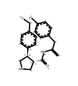 C=C(Cc1ccc(Cl)cc1)NC(=O)[C@@H]1CNC[C@H]1c1ccc(CF)cc1